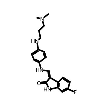 CN(C)CCCNc1ccc(NC=C2C(=O)Nc3cc(F)ccc32)cc1